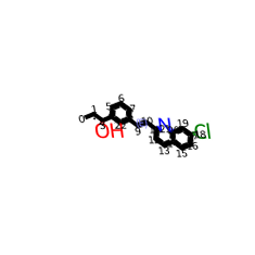 C[CH]C(O)c1cccc(/C=C/c2ccc3ccc(Cl)cc3n2)c1